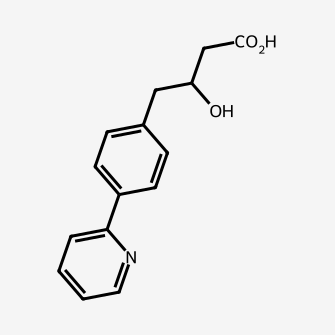 O=C(O)CC(O)Cc1ccc(-c2ccccn2)cc1